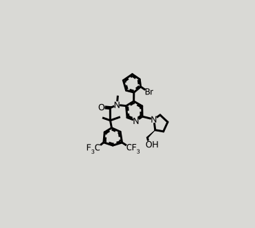 CN(C(=O)C(C)(C)c1cc(C(F)(F)F)cc(C(F)(F)F)c1)c1cnc(N2CCC[C@H]2CO)cc1-c1ccccc1Br